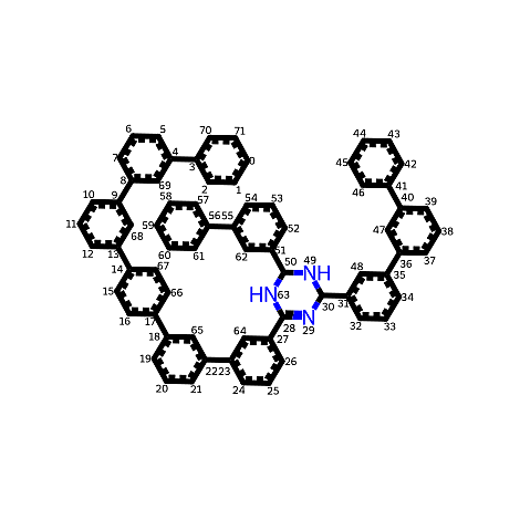 c1ccc(-c2cccc(-c3cccc(-c4ccc(-c5cccc(-c6cccc(C7=NC(c8cccc(-c9cccc(-c%10ccccc%10)c9)c8)NC(c8cccc(-c9ccccc9)c8)N7)c6)c5)cc4)c3)c2)cc1